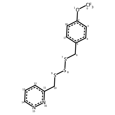 FC(F)(F)Oc1ccc(CSSSCc2cccnn2)cc1